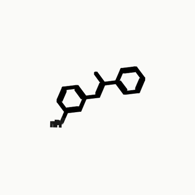 C[CH]Cc1cccc(/C=C(\C)c2ccccc2)c1